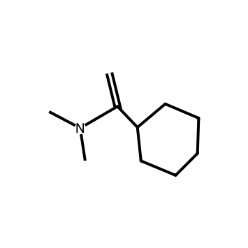 C=C(C1CCCCC1)N(C)C